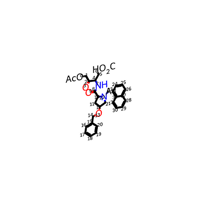 CC(=O)OCC(=O)C(CC(=O)O)NC(=O)C1CC(OCc2ccccc2)CN1C(C)=O.c1ccc2ccccc2c1